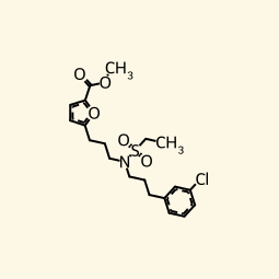 CCS(=O)(=O)N(CCCc1cccc(Cl)c1)CCCc1ccc(C(=O)OC)o1